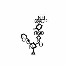 NS(=O)(=O)c1ccc(S(=O)(=O)C2CN(C(=O)c3cc(OCC4CCC=CO4)nc(C4CC4)c3)C2)c(F)c1